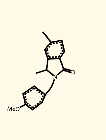 COc1ccc(CN2C(=O)c3ccc(C)cc3C2C)cc1